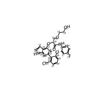 O=C(Nc1ccc(F)cn1)[C@H](COCCO)Oc1nc(-c2c(Cl)cccc2Cl)nc2[nH]ncc12